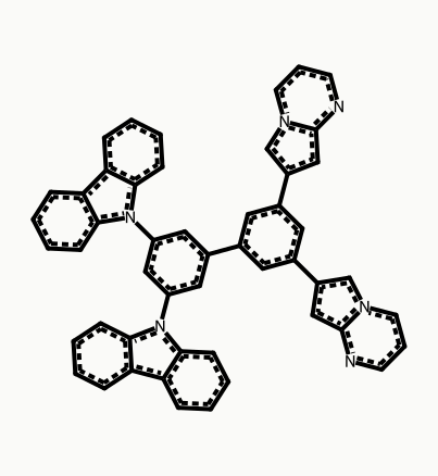 c1ccc2c(c1)c1ccccc1n2-c1cc(-c2cc(-c3cc4ncccn4c3)cc(-c3cc4ncccn4c3)c2)cc(-n2c3ccccc3c3ccccc32)c1